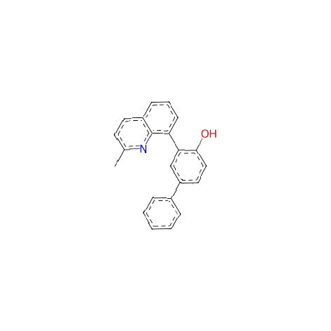 Cc1ccc2cccc(-c3cc(-c4ccccc4)ccc3O)c2n1